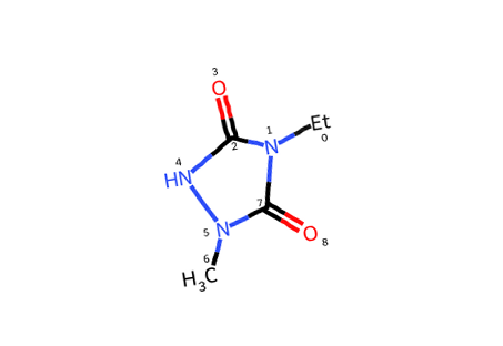 CCn1c(=O)[nH]n(C)c1=O